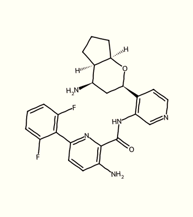 Nc1ccc(-c2c(F)cccc2F)nc1C(=O)Nc1cnccc1[C@H]1C[C@@H](N)[C@H]2CCC[C@H]2O1